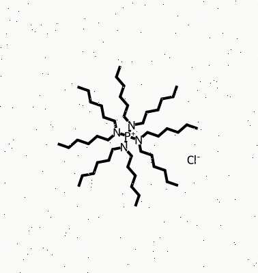 CCCCCCN(CCCCCC)[P+](N(CCCCCC)CCCCCC)(N(CCCCCC)CCCCCC)N(CCCCCC)CCCCCC.[Cl-]